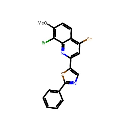 COc1ccc2c(S)cc(-c3cnc(-c4ccccc4)s3)nc2c1Br